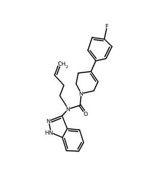 C=CCCN(C(=O)N1CC=C(c2ccc(F)cc2)CC1)c1n[nH]c2ccccc12